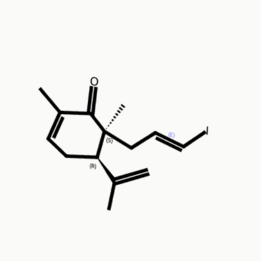 C=C(C)[C@H]1CC=C(C)C(=O)[C@@]1(C)C/C=C/I